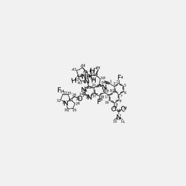 C#Cc1c(F)ccc2cc(OC(=O)N(C)C)cc(-c3nc4c5c(nc(OC[C@@]67CCCN6C[C@H](F)C7)nc5c3F)N3C[C@H]5CC[C@H](N5)[C@@H]3[C@@H](C)C4)c12